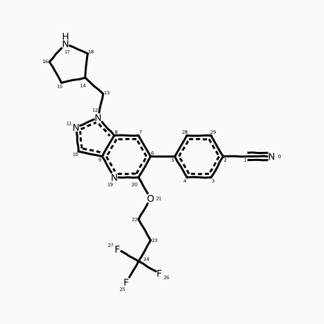 N#Cc1ccc(-c2cc3c(cnn3CC3CCNC3)nc2OCCC(F)(F)F)cc1